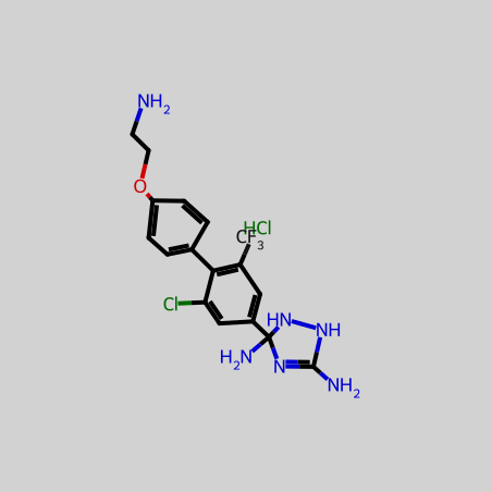 Cl.NCCOc1ccc(-c2c(Cl)cc(C3(N)N=C(N)NN3)cc2C(F)(F)F)cc1